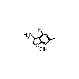 Cl.NC1COc2cc(F)cc(F)c21